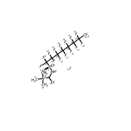 CCC(NS(=O)(=O)C(F)(F)C(F)(F)C(F)(F)C(F)(F)C(F)(F)C(F)(F)C(F)(F)C(F)(F)F)[N+](C)(C)C.[I-]